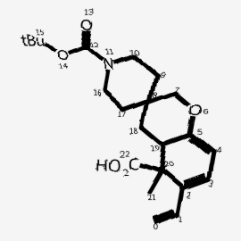 C=CC1=CC=C2OCC3(CCN(C(=O)OC(C)(C)C)CC3)CC2C1(C)C(=O)O